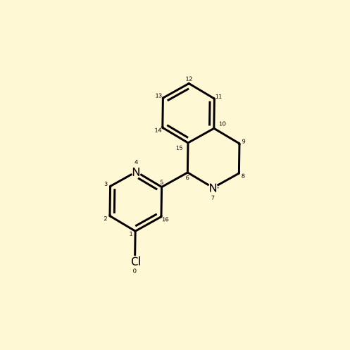 Clc1ccnc(C2[N]CCc3ccccc32)c1